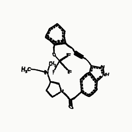 CN(C)C1CCN(C(=O)c2ccc3[nH]nc(C#Cc4ccccc4OC(F)(F)F)c3c2)C1